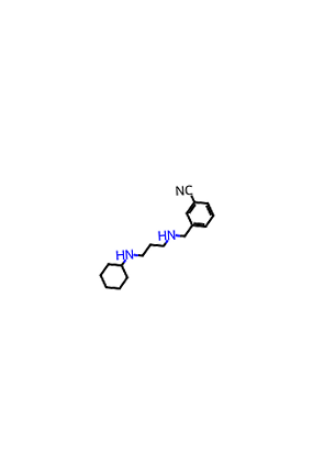 N#Cc1cccc(CNCCCNC2CCCCC2)c1